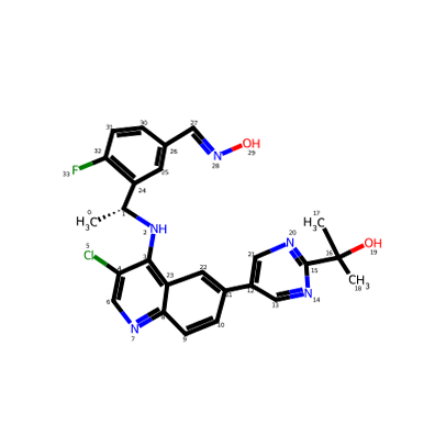 C[C@@H](Nc1c(Cl)cnc2ccc(-c3cnc(C(C)(C)O)nc3)cc12)c1cc(C=NO)ccc1F